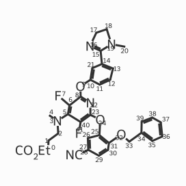 CCOC(=O)CCN(C)c1c(F)c(Oc2cccc(C3=NCCN3C)c2)nc(Oc2cc(C#N)ccc2OCc2ccccc2)c1F